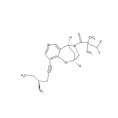 CC[C@H](C)CC#Cc1cncc2c1O[C@H]1C[C@@H]2N(C(=O)C(C)(C)C(F)F)C1